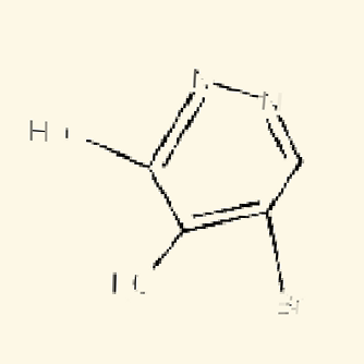 Cc1nncc(Br)c1C